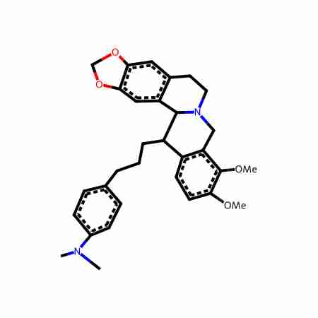 COc1ccc2c(c1OC)CN1CCc3cc4c(cc3C1C2CCCc1ccc(N(C)C)cc1)OCO4